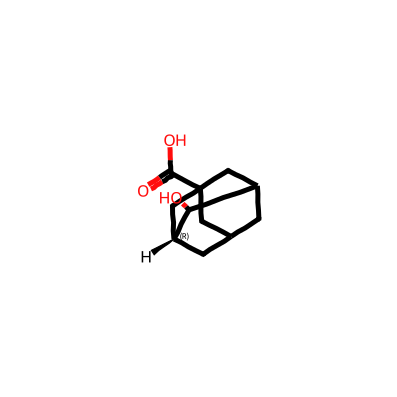 O=C(O)C12CC3CC(C1)C(O)[C@H](C3)C2